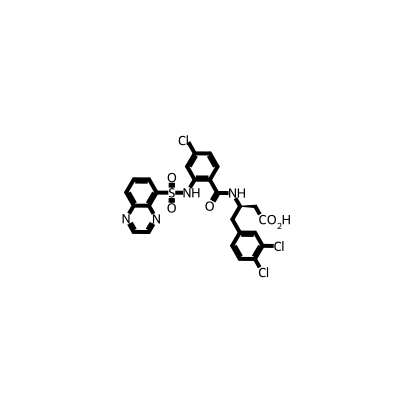 O=C(O)C[C@@H](Cc1ccc(Cl)c(Cl)c1)NC(=O)c1ccc(Cl)cc1NS(=O)(=O)c1cccc2nccnc12